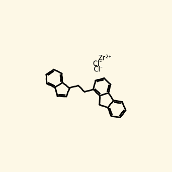 C1=CC(CCc2cccc3c2Cc2ccccc2-3)c2ccccc21.[Cl-].[Cl-].[Zr+2]